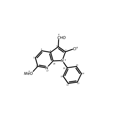 COc1ccc2c(C=O)c(Cl)n(-c3ccccc3)c2n1